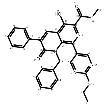 CCOc1ncc(-c2nc(C(=O)OC)c(O)c3cc(-c4ccccc4)c(=O)n(Cc4ccccc4)c23)cn1